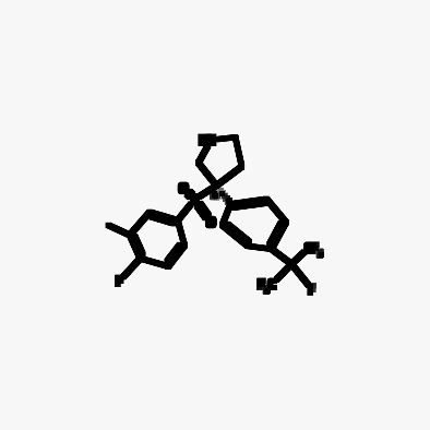 Cc1cc(S(=O)(=O)[C@]2(c3ccc(C(F)(C(F)(F)F)C(F)(F)F)cc3)CCNC2)ccc1F